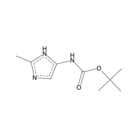 Cc1ncc(NC(=O)OC(C)(C)C)[nH]1